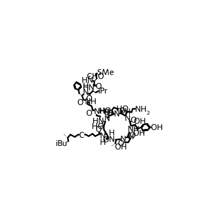 CC[C@H](C)C[C@H](C)CCCCCCCCC(=O)N[C@H]1C[C@@H](O)[C@@H](NCCNC(=O)CCNC(=O)[C@H](Cc2ccccc2)NC(=O)[C@H](CC(C)C)NC(=O)[C@H](CCSC)NC=O)NC(=O)[C@@H]2[C@@H](O)CCN2C(=O)[C@H]([C@H](O)CCN)NC(=O)[C@H]([C@H](O)[C@@H](O)c2ccc(O)cc2)NC(=O)[C@@H]2CCCN2C(=O)[C@H]([C@@H](C)O)NC1=O